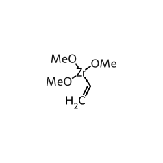 C=[CH][Zr]([O]C)([O]C)[O]C